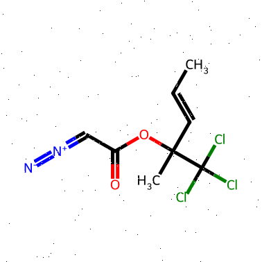 C/C=C/C(C)(OC(=O)C=[N+]=[N-])C(Cl)(Cl)Cl